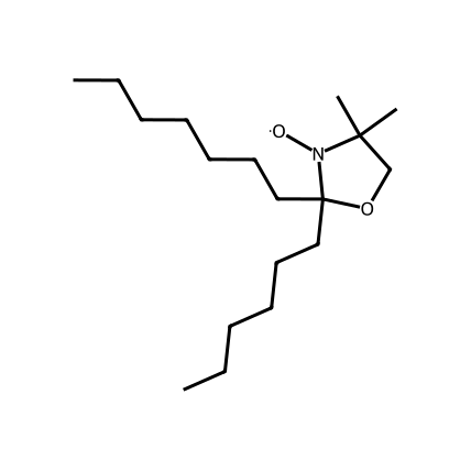 CCCCCCCC1(CCCCCC)OCC(C)(C)N1[O]